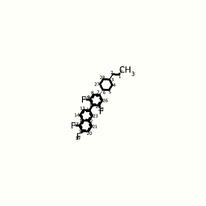 CCC[C@H]1CC[C@H](c2cc(F)c(-c3ccc4c(F)c(F)ccc4c3)c(F)c2)CC1